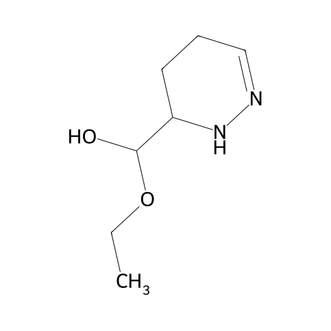 CCOC(O)C1CCC=NN1